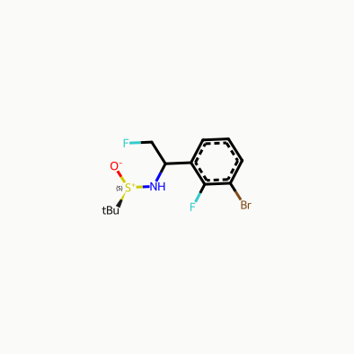 CC(C)(C)[S@@+]([O-])NC(CF)c1cccc(Br)c1F